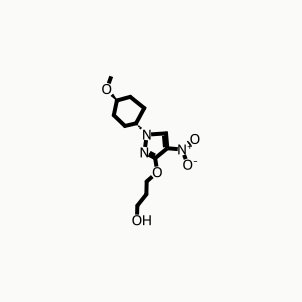 CO[C@H]1CC[C@H](n2cc([N+](=O)[O-])c(OCCCO)n2)CC1